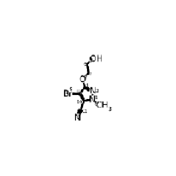 Cn1nc(OCCO)c(Br)c1C#N